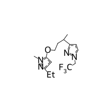 CCc1cc(OCCC(C)c2ccn(CC(F)(F)F)n2)n(C)n1